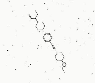 C=CC(CC)[C@H]1CC[C@H](c2ccc(C#C[C@H]3CC[C@H](OCC)CC3)cc2)CC1